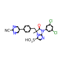 CC1(Cc2ccc(-c3cnc(C#N)nc3)cc2)C(=O)N(c2cc(Cl)cc(Cl)c2)c2ncc(S(=O)(=O)O)n21